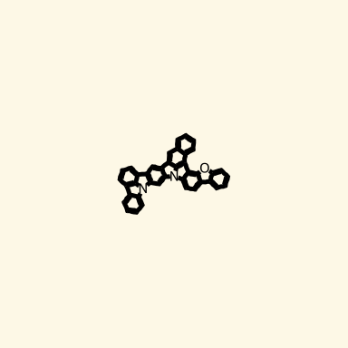 c1ccc2c(c1)cc1c3cc4c5cccc6c7ccccc7n(c4cc3n3c4ccc7c8ccccc8oc7c4c2c13)c65